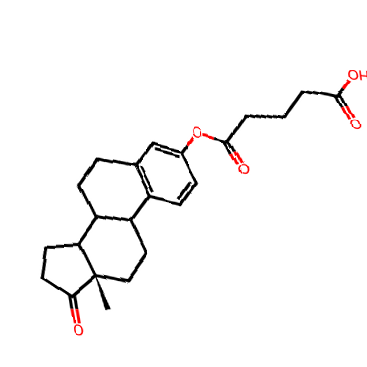 C[C@]12CCC3c4ccc(OC(=O)CCCC(=O)O)cc4CCC3C1CCC2=O